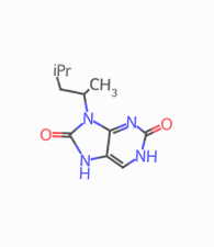 CC(C)CC(C)n1c(=O)[nH]c2c[nH]c(=O)nc21